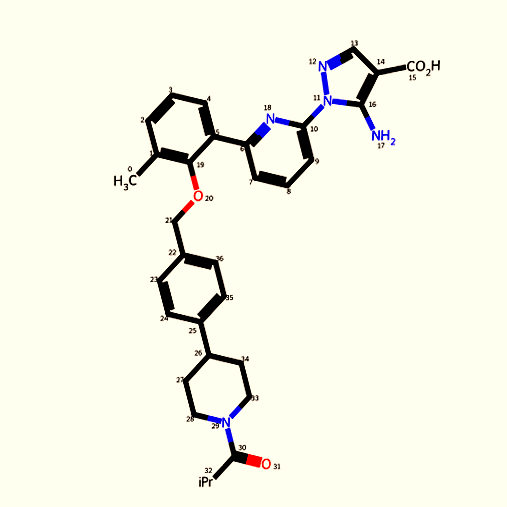 Cc1cccc(-c2cccc(-n3ncc(C(=O)O)c3N)n2)c1OCc1ccc(C2CCN(C(=O)C(C)C)CC2)cc1